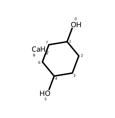 OC1CCC(O)CC1.[CaH2]